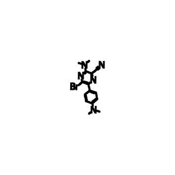 CN(C)c1ccc(-c2nc(C#N)c(N(C)C)nc2Br)cc1